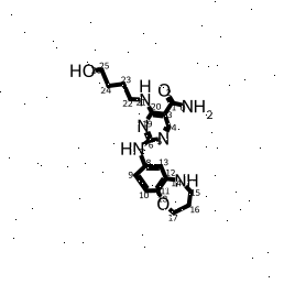 NC(=O)c1cnc(Nc2ccc3c(c2)NCCCO3)nc1NCCCCO